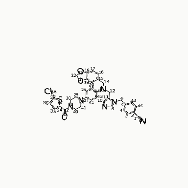 N#Cc1ccc(Cn2cncc2CN(Cc2ccc3c(c2)OCO3)c2ccc(N3CCN(C(=O)c4ccc(Cl)s4)CC3)cc2)cc1